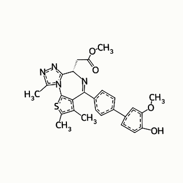 COC(=O)C[C@@H]1N=C(c2ccc(-c3ccc(O)c(OC)c3)cc2)c2c(sc(C)c2C)-n2c(C)nnc21